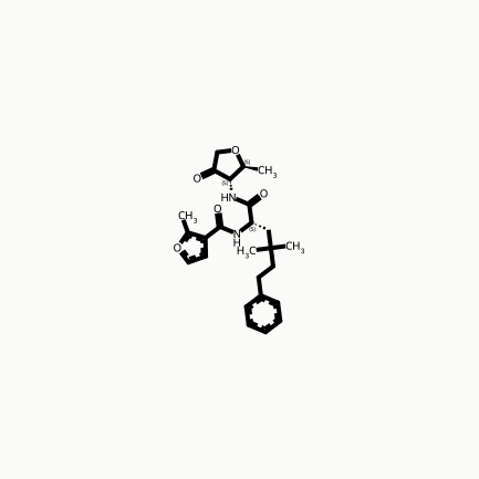 Cc1occc1C(=O)N[C@@H](CC(C)(C)CCc1ccccc1)C(=O)N[C@@H]1C(=O)CO[C@H]1C